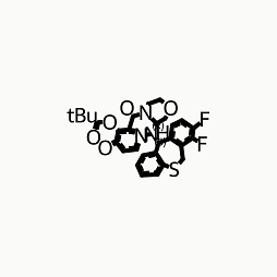 CC(C)(C)C(=O)Oc1c2n(ccc1=O)N([C@@H]1c3ccccc3SCc3c1ccc(F)c3F)[C@@H]1COCCN1C2=O